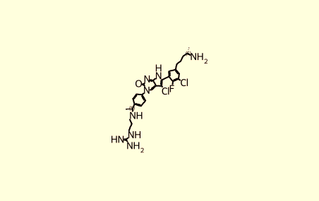 C[C@H](N)CCCc1cc(Cl)c(F)c(-c2[nH]c3nc(=O)n(-c4ccc([C@H](C)NCCCNC(=N)N)cc4)cc3c2Cl)c1